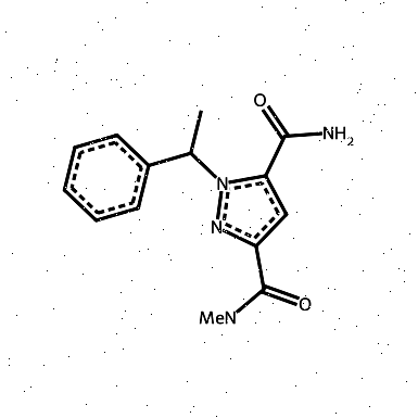 CNC(=O)c1cc(C(N)=O)n(C(C)c2ccccc2)n1